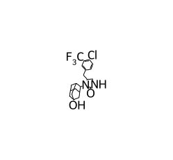 O=C1NCC(Cc2ccc(Cl)c(C(F)(F)F)c2)N1C1C2CC3CC1CC(O)(C3)C2